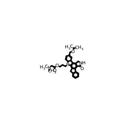 CC(C)OCC1=CC2c3c4c(c5c(c3N(CCCOC(=O)CN(C)C)C2C=C1)Cc1ccccc1-5)C(=O)NC4